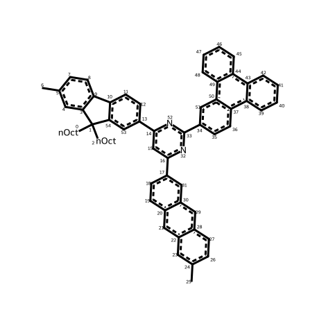 CCCCCCCCC1(CCCCCCCC)c2cc(C)ccc2-c2ccc(-c3cc(-c4ccc5cc6cc(C)ccc6cc5c4)nc(-c4ccc5c6ccccc6c6ccccc6c5c4)n3)cc21